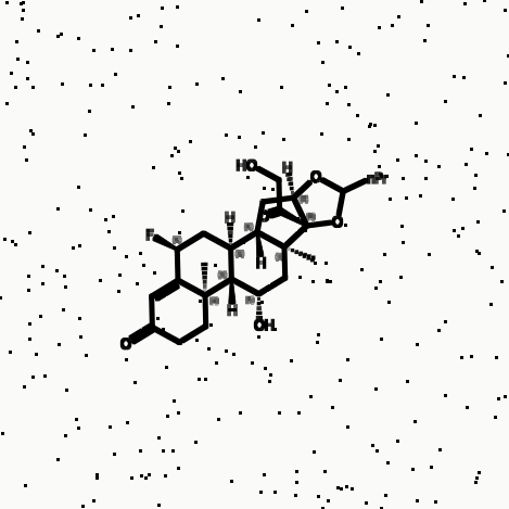 CCCC1O[C@@H]2C[C@H]3[C@@H]4C[C@H](F)C5=CC(=O)CC[C@]5(C)[C@H]4[C@@H](O)C[C@]3(C)[C@@]2(C(=O)CO)O1